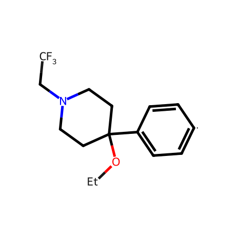 CCOC1(c2cc[c]cc2)CCN(CC(F)(F)F)CC1